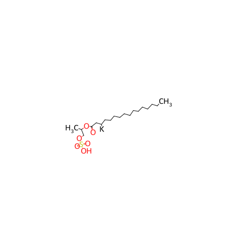 CCCCCCCCCCCCC[CH]([K])CC(=O)OC(C)COS(=O)(=O)O